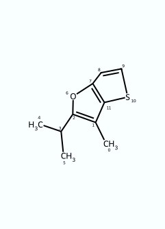 Cc1c(C(C)C)oc2ccsc12